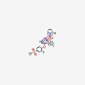 Cc1c(Oc2ccc(S(=O)(=O)C3CC3)cc2F)ncnc1OC1CC2C=C[C@@H](C1)N2C(=O)OC(C)C